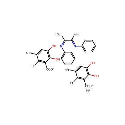 CCCCCCCCC(=Nc1ccccc1)C(CCCC)=Nc1ccccc1.CCCc1cc(O)c(O)c(C(=O)[O-])c1CC.CCCc1cc(O)c(O)c(C(=O)[O-])c1CC.[Ni+2]